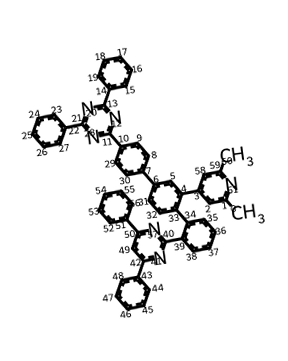 Cc1cc(-c2cc(-c3ccc(-c4nc(-c5ccccc5)nc(-c5ccccc5)n4)cc3)ccc2-c2ccccc2-c2nc(-c3ccccc3)cc(-c3ccccc3)n2)cc(C)n1